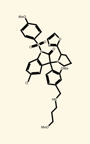 COCCCNCc1ccc(C2(N3CCCC3c3ncco3)C(=O)N(S(=O)(=O)c3ccc(OC)cc3)c3ccc(Cl)cc32)c(OC)c1